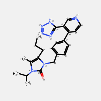 CCCc1c(C)n(C(C)C)c(=O)n1Cc1ccc(-c2ccncc2-c2nnn[nH]2)cc1